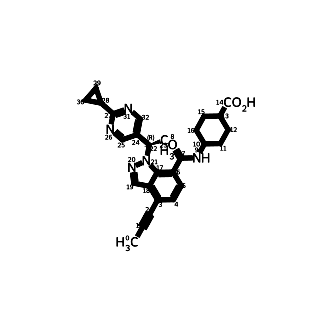 CC#Cc1ccc(C(=O)NC2CCC(C(=O)O)CC2)c2c1cnn2[C@H](C)c1cnc(C2CC2)nc1